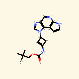 CC(C)(C#N)COC(=O)NC1=CC(n2cnc3cnc4[nH]ccc4c32)C1